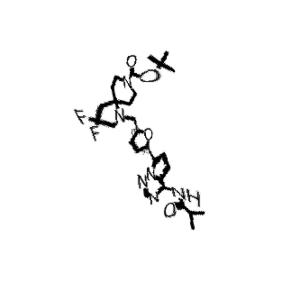 CC(C)C(=O)Nc1ncnn2c([C@H]3CC[C@@H](CN4CC(F)(F)CC45CCN(C(=O)OC(C)(C)C)CC5)O3)ccc12